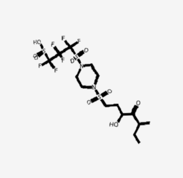 CCC(C)C(=O)C(O)CCS(=O)(=O)N1CCN(S(=O)(=O)C(F)(F)C(F)(F)C(F)(F)S(=O)(=O)O)CC1